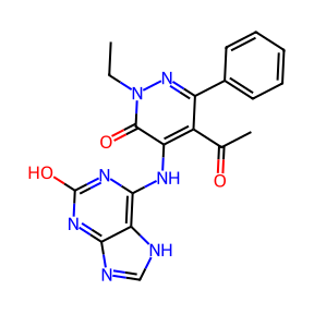 CCn1nc(-c2ccccc2)c(C(C)=O)c(Nc2nc(O)nc3nc[nH]c23)c1=O